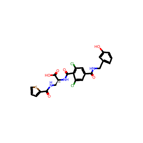 O=C(NCc1cccc(O)c1)c1cc(Cl)c(C(=O)N[C@@H](CNC(=O)c2cccs2)C(=O)O)c(Cl)c1